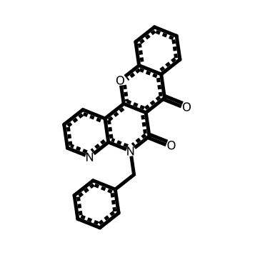 O=c1c2ccccc2oc2c1c(=O)n(Cc1ccccc1)c1ncccc21